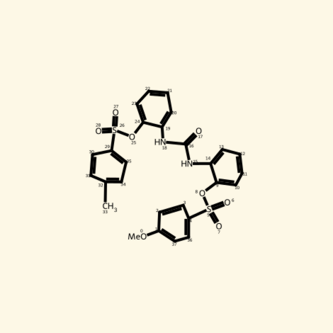 COc1ccc(S(=O)(=O)Oc2ccccc2NC(=O)Nc2ccccc2OS(=O)(=O)c2ccc(C)cc2)cc1